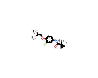 CC(C)COc1ccc(NC(=O)C2(C)CC2)cc1F